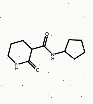 O=C1NCCCC1C(=O)NC1CCCC1